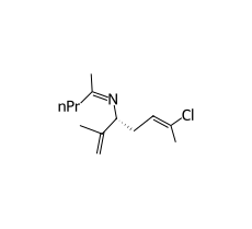 C=C(C)[C@@H](C/C=C(\C)Cl)/N=C(/C)CCC